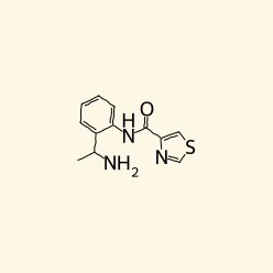 CC(N)c1ccccc1NC(=O)c1cscn1